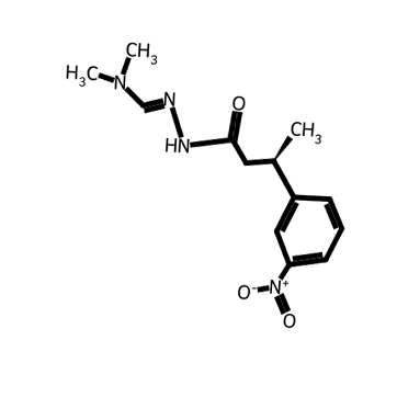 C[C@H](CC(=O)NN=CN(C)C)c1cccc([N+](=O)[O-])c1